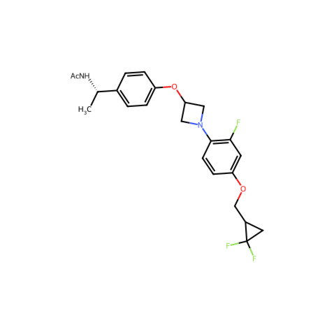 CC(=O)N[C@@H](C)c1ccc(OC2CN(c3ccc(OCC4CC4(F)F)cc3F)C2)cc1